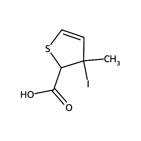 CC1(I)C=CSC1C(=O)O